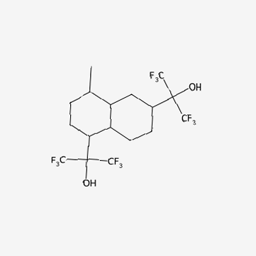 CC1CCC(C(O)(C(F)(F)F)C(F)(F)F)C2CCC(C(O)(C(F)(F)F)C(F)(F)F)CC12